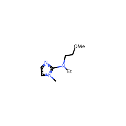 CCN(CCOC)c1nccn1C